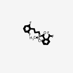 CN(C)N(CCCc1c(F)cccc1F)C(=O)c1ccccc1C(F)F